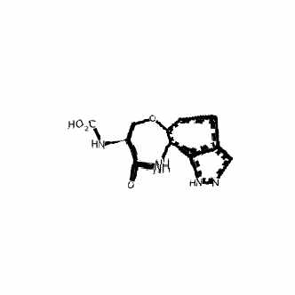 O=C(O)N[C@H]1COc2ccc3cn[nH]c3c2NC1=O